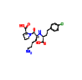 NCCCC[C@H](NC(CCc1ccc(Cl)cc1)C(=O)O)C(=O)N1CCC[C@H]1C(=O)O